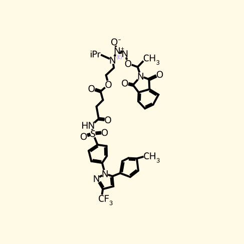 Cc1ccc(-c2cc(C(F)(F)F)nn2-c2ccc(S(=O)(=O)NC(=O)CCC(=O)OCCN(C(C)C)/[N+]([O-])=N\OC(C)N3C(=O)c4ccccc4C3=O)cc2)cc1